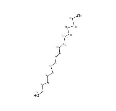 OCCCCCCCCCCCCCCCCCl